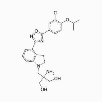 CC(C)Oc1ccc(-c2nc(-c3cccc4c3CCN4CC(N)(CO)CO)no2)cc1Cl